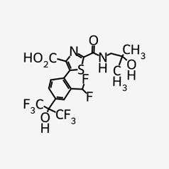 CC(C)(O)CNC(=O)c1nc(C(=O)O)c(-c2ccc(C(O)(C(F)(F)F)C(F)(F)F)cc2C(F)F)s1